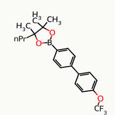 CCCC1(C)OB(c2ccc(-c3ccc(OC(F)(F)F)cc3)cc2)OC1(C)C